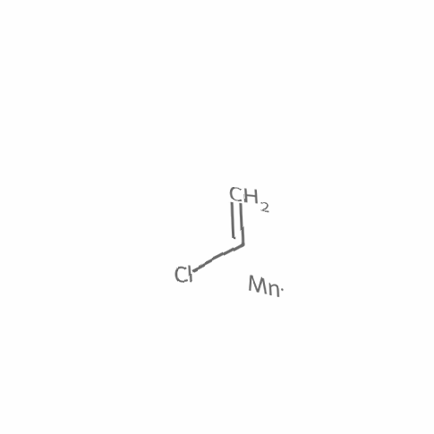 C=CCl.[Mn]